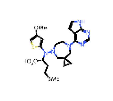 COc1csc(N([C@@H](CCSC)C(=O)O)N2CCN(c3ncnc4[nH]ccc34)CC3(CC3)C2)c1